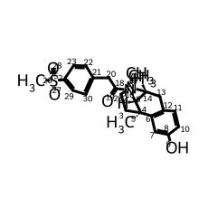 CN1CC[C@]2(C)c3cc(O)ccc3C[C@@H]1[C@H]2N(C)C(=O)Cc1ccc(S(C)(=O)=O)cc1